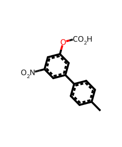 Cc1ccc(-c2cc(OC(=O)O)cc([N+](=O)[O-])c2)cc1